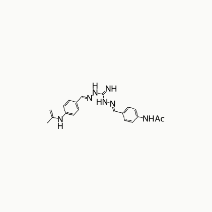 C=C(C)Nc1ccc(/C=N/NC(=N)N/N=C/c2ccc(NC(C)=O)cc2)cc1